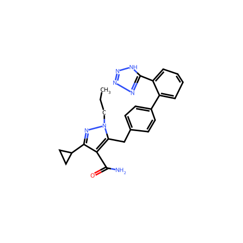 CCCn1nc(C2CC2)c(C(N)=O)c1Cc1ccc(-c2ccccc2-c2nnn[nH]2)cc1